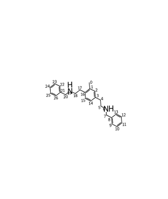 Cc1cc(CCNCc2ccccc2)ccc1CCNCc1ccccc1